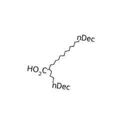 CCCCCCCCCCCCCCCCCCCCCCC(CCCCCCCCCCCCCC)C(=O)O